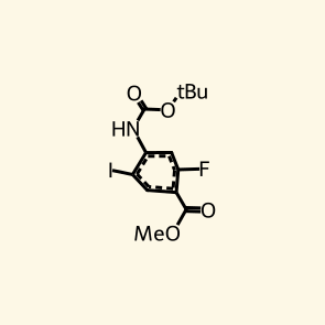 COC(=O)c1cc(I)c(NC(=O)OC(C)(C)C)cc1F